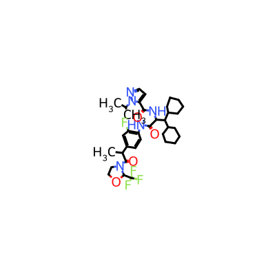 CC(C(=O)N1CCOC1C(F)(F)F)c1ccc(NC(=O)C(NC(=O)c2ccnn2C(C)C)C(C2CCCCC2)C2CCCCC2)c(F)c1